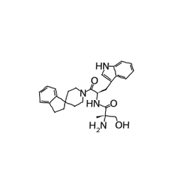 C[C@](N)(CO)C(=O)N[C@H](Cc1c[nH]c2ccccc12)C(=O)N1CCC2(CCc3ccccc32)CC1